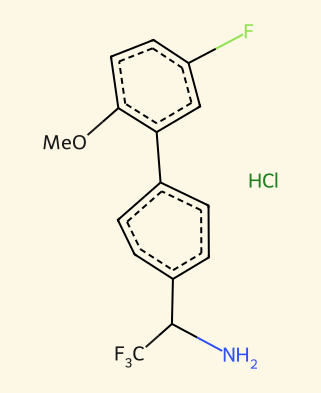 COc1ccc(F)cc1-c1ccc(C(N)C(F)(F)F)cc1.Cl